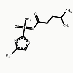 Cc1csc(S(N)(=O)=NC(=O)CCC(C)C)n1